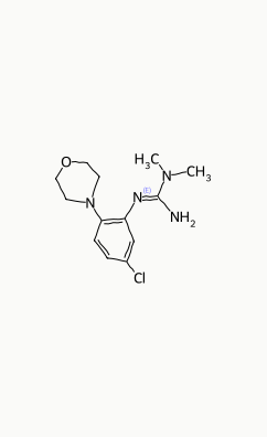 CN(C)/C(N)=N/c1cc(Cl)ccc1N1CCOCC1